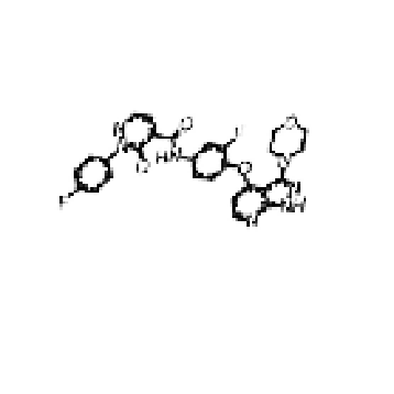 O=C(Nc1ccc(Oc2ccnc3[nH]nc(N4CCOCC4)c23)c(F)c1)c1ccnn(-c2ccc(F)cc2)c1=O